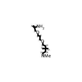 C=C(N)COCCCOCCC(C)(C)CCNC